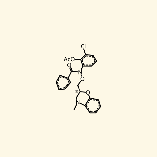 CC(=O)Oc1c(Cl)cccc1N(OC[C@@H]1CN(C)c2ccccc2O1)C(=O)c1ccccc1